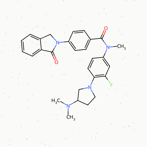 CN(C(=O)c1ccc(N2Cc3ccccc3C2=O)cc1)c1ccc(N2CCC(N(C)C)C2)c(F)c1